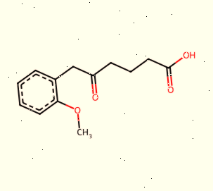 COc1ccccc1CC(=O)CCCC(=O)O